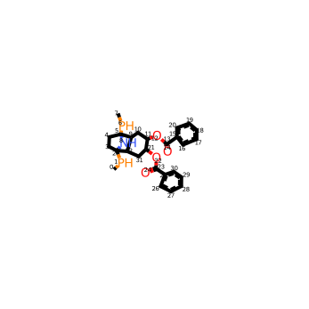 CPC12CCC(PC)(N1)C1CC(OC(=O)c3ccccc3)C(OC(=O)c3ccccc3)CC12